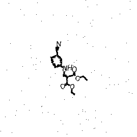 CCOC(=O)C(=CNc1cccc(C#N)c1)C(=O)OCC